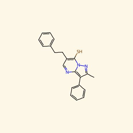 Cc1nn2c(S)c(CCc3ccccc3)cnc2c1-c1ccccc1